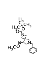 CON=C1CN(Cc2ccccc2)CC12CN(C(=O)OC(C)(C)C)C2